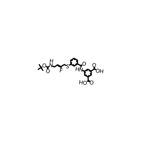 CC(C)(C)OC(=O)NCC=C(F)CSc1cccc(C(=O)Nc2cc(C(=O)O)cc(C(=O)O)c2)c1